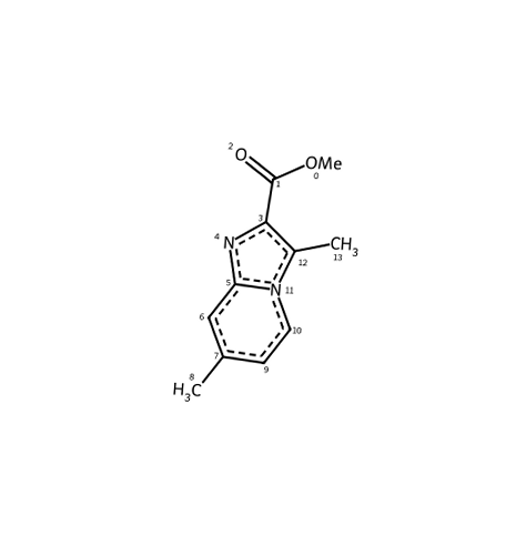 COC(=O)c1nc2cc(C)ccn2c1C